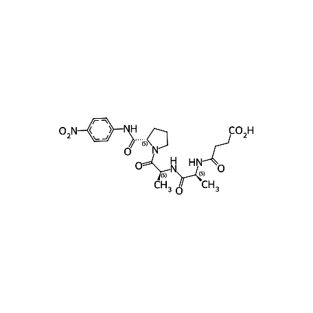 C[C@H](NC(=O)CCC(=O)O)C(=O)N[C@@H](C)C(=O)N1CCC[C@H]1C(=O)Nc1ccc([N+](=O)[O-])cc1